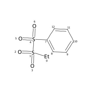 CCS(=O)(=O)S(=O)(=O)c1cc[c]cc1